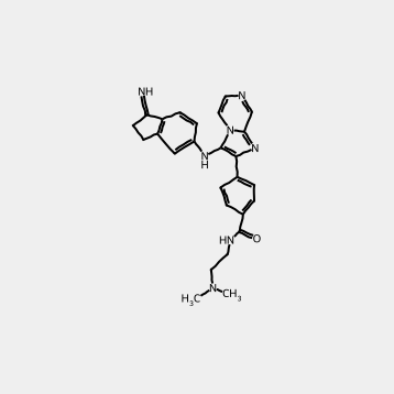 CN(C)CCNC(=O)c1ccc(-c2nc3cnccn3c2Nc2ccc3c(c2)CCC3=N)cc1